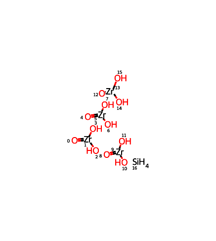 [O]=[Zr]([OH])[OH].[O]=[Zr]([OH])[OH].[O]=[Zr]([OH])[OH].[O]=[Zr]([OH])[OH].[SiH4]